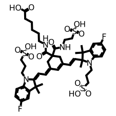 CC1(C)/C(=C\C=C2C=C(/C=C/C3(C)N(CCCS(=O)(=O)O)c4ccc(F)cc4C3(C)C)CC(C(=O)NCCCCCC(=O)O)(C(=O)NCCS(=O)(=O)O)C\2)N(CCCS(=O)(=O)O)c2ccc(F)cc21